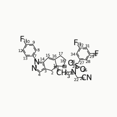 C[C@]12Cc3cnn(-c4ccc(F)cc4)c3C=C1CC[C@@H]2CN(CC#N)S(=O)(=O)c1cc(F)cc(F)c1